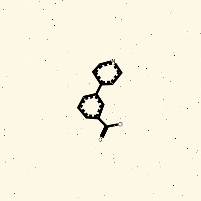 O=C(Cl)c1cccc(-c2ccncc2)c1